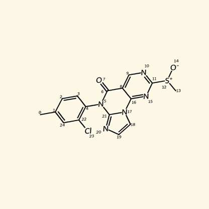 Cc1ccc(-n2c(=O)c3cnc([S+](C)[O-])nc3n3ccnc23)c(Cl)c1